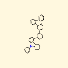 C1=CC2c3c(-c4cccc(-c5ccc6c7ccccc7c7ccccc7c6c5)c4)cccc3N(c3ccccc3)C2C=C1